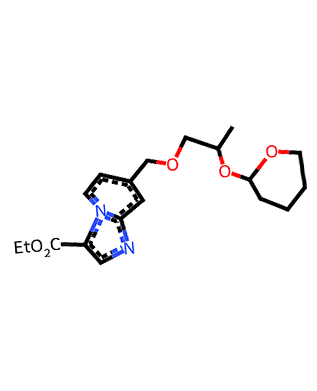 CCOC(=O)c1cnc2cc(COCC(C)OC3CCCCO3)ccn12